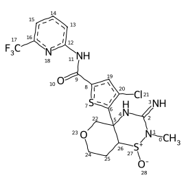 CN1C(=N)NC2(c3sc(C(=O)Nc4cccc(C(F)(F)F)n4)cc3Cl)COCCC2[S+]1[O-]